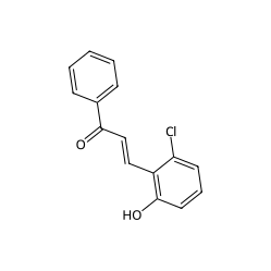 O=C(/C=C/c1c(O)cccc1Cl)c1ccccc1